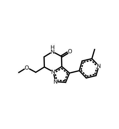 COCC1CNC(=O)c2c(-c3ccnc(C)c3)cnn21